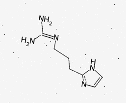 NC(N)=NCCCc1ncc[nH]1